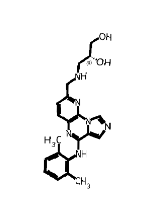 Cc1cccc(C)c1Nc1nc2ccc(CNC[C@@H](O)CO)nc2n2cncc12